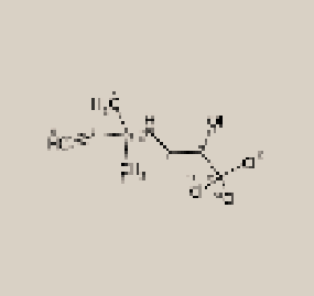 C#CC(C)(C)NCC(O)C(Cl)(Cl)Cl